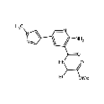 CCC(NC(=O)c1cc(-c2cnn(C)c2)cnc1N)C(=O)OC